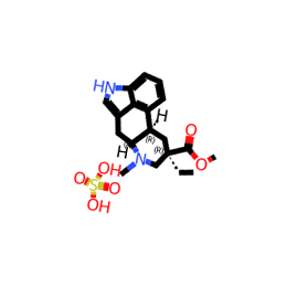 CC[C@@]1(C(=O)OC)C[C@@H]2c3cccc4[nH]cc(c34)C[C@H]2N(C)C1.O=S(=O)(O)O